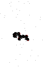 c1ccc(-c2nc(-c3ccc(-c4cccc5c4sc4ccccc45)cc3)cc(-c3cccc(-c4ccc5ccc6cccnc6c5n4)c3)n2)cc1